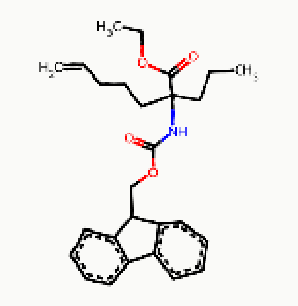 C=CCCCC(CCC)(NC(=O)OCC1c2ccccc2-c2ccccc21)C(=O)OCC